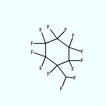 FC(F)C1(F)C(F)(F)C(F)(F)C(F)(F)C(F)(F)C1(F)F